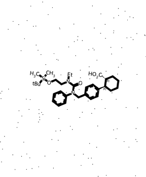 CCN(CCO[Si](C)(C)C(C)(C)C)C(=O)N(Cc1ccc([C@@H]2CCCC[C@H]2C(=O)O)cc1)c1ccccc1